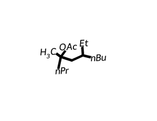 CCCCC(CC)CC(C)(CCC)OC(C)=O